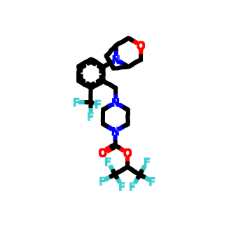 O=C(OC(C(F)(F)F)C(F)(F)F)N1CCN(Cc2c(N3C4CCC3COC4)cccc2C(F)(F)F)CC1